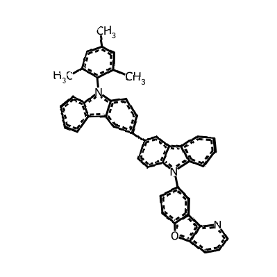 Cc1cc(C)c(-n2c3ccccc3c3cc(-c4ccc5c(c4)c4ccccc4n5-c4ccc5oc6cccnc6c5c4)ccc32)c(C)c1